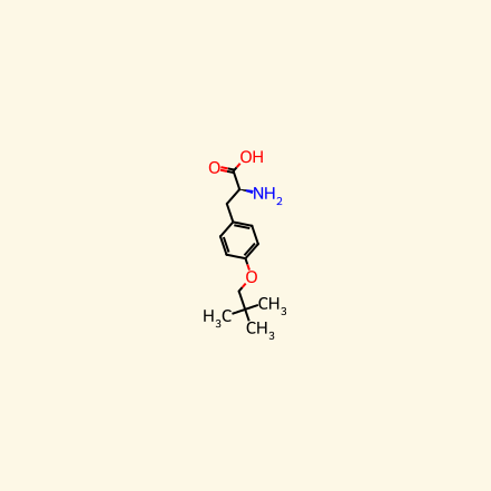 CC(C)(C)COc1ccc(C[C@H](N)C(=O)O)cc1